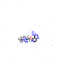 [2H]C([2H])([2H])n1cnc(C(C)(C)Oc2nccc3ncnc(N)c23)n1